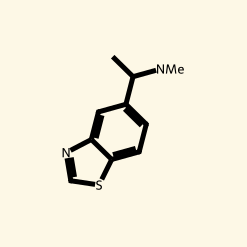 CNC(C)c1ccc2scnc2c1